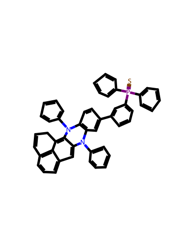 S=P(c1ccccc1)(c1ccccc1)c1cccc(-c2ccc3c(c2)N(c2ccccc2)c2cc4cccc5c4c(c2N3c2ccccc2)CC=C5)c1